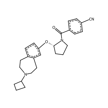 N#Cc1ccc(C(=O)N2CCC[C@@H]2Oc2ccc3c(c2)CCN(C2CCC2)CC3)cc1